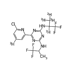 [2H]c1cc(Cl)nc(-c2nc(NC(C)C(F)(F)F)nc(NC([2H])(C([2H])([2H])[2H])C(F)(F)F)n2)c1